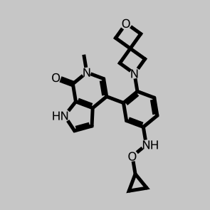 Cn1cc(-c2cc(NOC3CC3)ccc2N2CC3(COC3)C2)c2cc[nH]c2c1=O